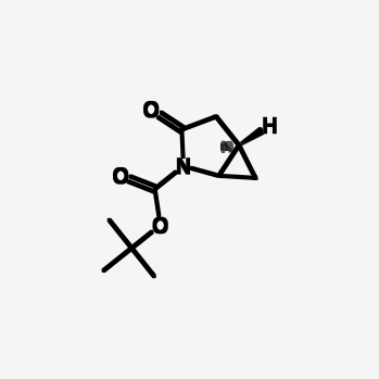 CC(C)(C)OC(=O)N1C(=O)C[C@@H]2CC21